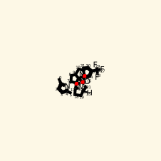 Cc1ccc(C)n1C1CC2CCCC2(C(=O)N2C3CC[C@H]2CN(c2cc(C(F)(F)F)ccn2)C3)C1